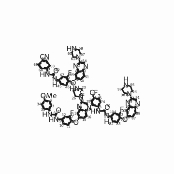 COc1ccc(NC(=O)Nc2ccc(Oc3ccc4ncc(N5CCNCC5)nc4c3)c(F)c2)cc1.N#Cc1ccc(NC(=O)Nc2ccc(Oc3ccc4ncc(N5CCNCC5)nc4c3)c(F)c2)cc1.O=C(Nc1ccc(C(F)(F)F)cc1)Nc1ccc(Oc2ccc3ncc(N4CCNCC4)nc3c2)c(F)c1